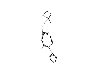 CC1(Nc2cc(C(F)(F)F)c(-c3cncs3)cn2)CCC1